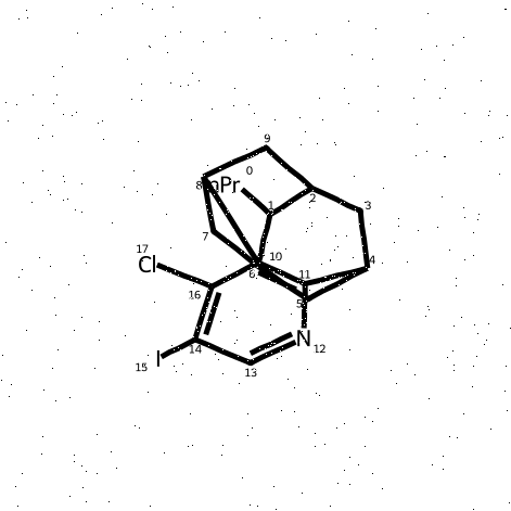 CCCC1C2CC3CC1CC(C2)c1c3ncc(I)c1Cl